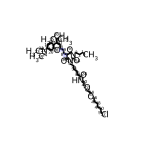 CCCCN1C(=O)/C(=C\C=C2\C=C(C(C)(C)C)c3ccc(N(CC)CC)cc3O2)C(=O)N(CCCCCC(=O)NCCOCCOCCCCCCCl)C1=O